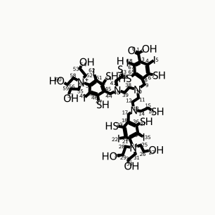 O=C(O)c1c(I)c(S)c(CN(CCN(CCS)Cc2c(S)c(I)c([N+](CCO)(CCO)CCO)c(I)c2S)CCN(CCS)Cc2c(S)c(I)c([N+](CCO)(CCO)CCO)c(I)c2S)c(S)c1I